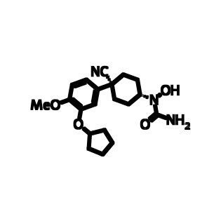 COc1ccc([C@]2(C#N)CC[C@@H](N(O)C(N)=O)CC2)cc1OC1CCCC1